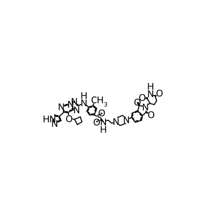 Cc1cc(S(=O)(=O)NCCN2CCN(c3ccc4c(c3)C(=O)N(C3CCC(=O)NC3=O)C4=O)CC2)ccc1Nc1nc2c(OC3CCC3)c(-c3cn[nH]c3)ncn2n1